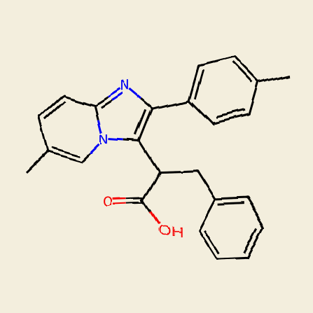 Cc1ccc(-c2nc3ccc(C)cn3c2C(Cc2ccccc2)C(=O)O)cc1